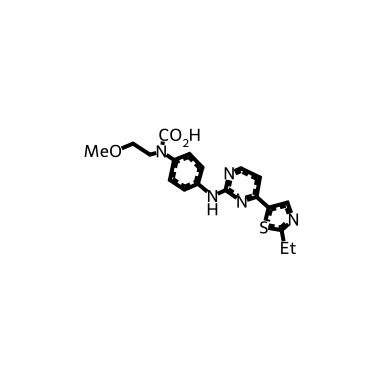 CCc1ncc(-c2ccnc(Nc3ccc(N(CCOC)C(=O)O)cc3)n2)s1